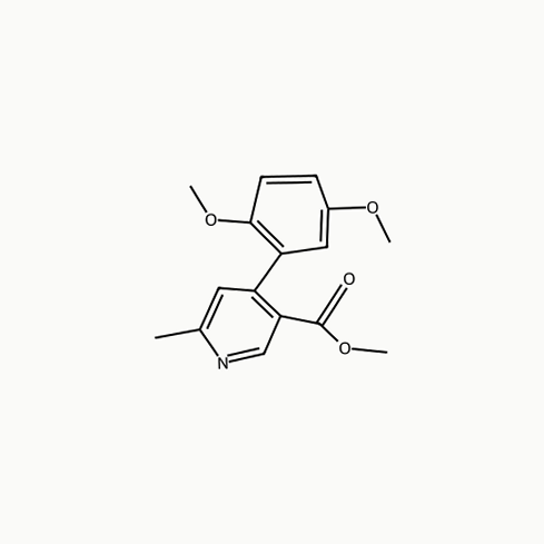 COC(=O)c1cnc(C)cc1-c1cc(OC)ccc1OC